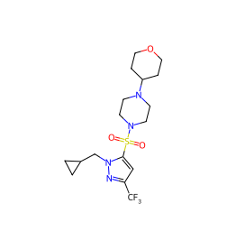 O=S(=O)(c1cc(C(F)(F)F)nn1CC1CC1)N1CCN(C2CCOCC2)CC1